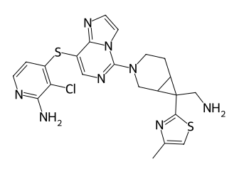 Cc1csc(C2(CN)C3CCN(c4ncc(Sc5ccnc(N)c5Cl)c5nccn45)CC32)n1